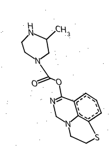 CC1CN(C(=O)OC2=NCN3CCSc4cccc2c43)CCN1